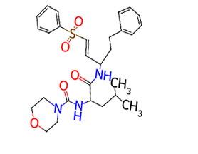 CC(C)CC(NC(=O)N1CCOCC1)C(=O)NC(C=CS(=O)(=O)c1ccccc1)CCc1ccccc1